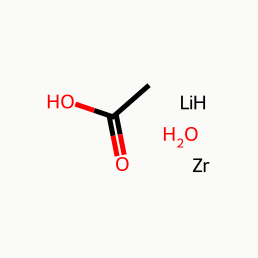 CC(=O)O.O.[LiH].[Zr]